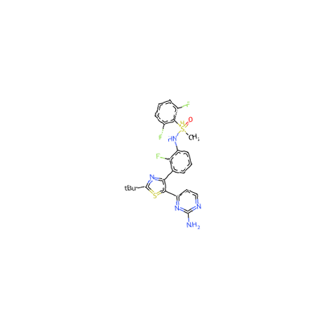 CC(C)(C)c1nc(-c2cccc(N[SH](C)(=O)c3c(F)cccc3F)c2F)c(-c2ccnc(N)n2)s1